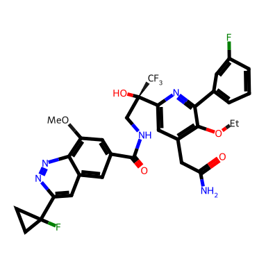 CCOc1c(CC(N)=O)cc([C@@](O)(CNC(=O)c2cc(OC)c3nnc(C4(F)CC4)cc3c2)C(F)(F)F)nc1-c1cccc(F)c1